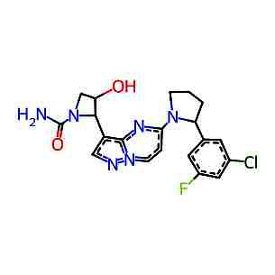 NC(=O)N1CC(O)C1c1cnn2ccc(N3CCCC3c3cc(F)cc(Cl)c3)nc12